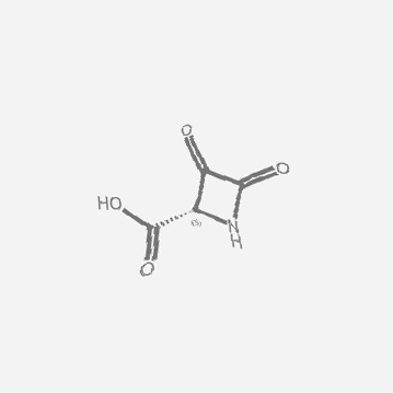 O=C1N[C@H](C(=O)O)C1=O